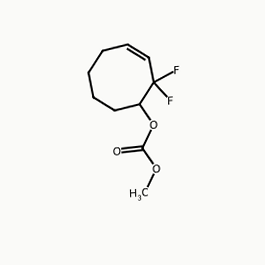 COC(=O)OC1CCCC/C=C\C1(F)F